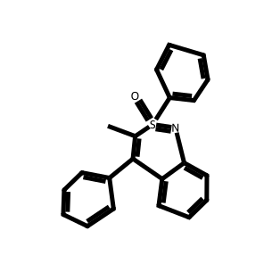 CC1=C(c2ccccc2)c2ccccc2N=S1(=O)c1ccccc1